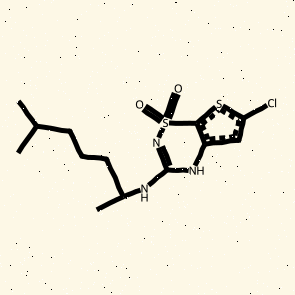 CC(C)CCCC(C)NC1=NS(=O)(=O)c2sc(Cl)cc2N1